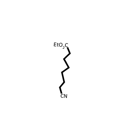 CCOC(=O)CCCCCCC#N